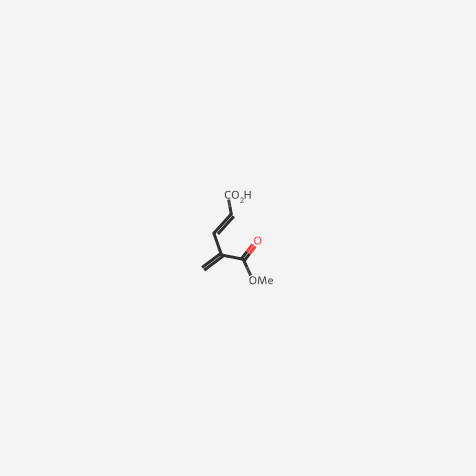 C=C(C=CC(=O)O)C(=O)OC